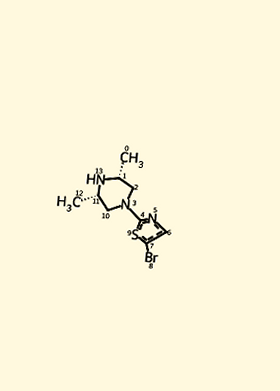 C[C@@H]1CN(c2ncc(Br)s2)C[C@H](C)N1